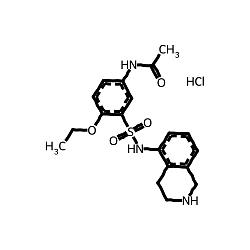 CCOc1ccc(NC(C)=O)cc1S(=O)(=O)Nc1cccc2c1CCNC2.Cl